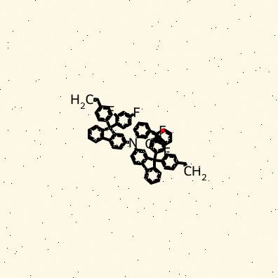 C=Cc1ccc(C2(c3ccc(F)cc3F)c3ccccc3-c3ccc(N(c4ccc5c(c4)C(c4ccc(C=C)cc4)(c4ccc(F)cc4F)c4ccccc4-5)c4cccc5c4oc4ccccc45)cc32)cc1